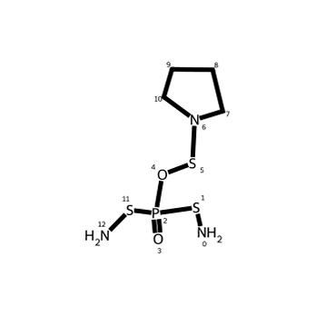 NSP(=O)(OSN1CCCC1)SN